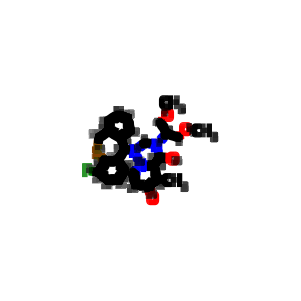 COCC(COC)N1CN(C2c3ccccc3CSc3c(F)cccc32)n2ccc(=O)c(C)c2C1=O